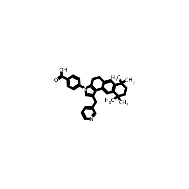 CC1(C)CCC(C)(C)c2cc3c(cc21)CCc1c-3c(Cc2cccnc2)cn1-c1ccc(C(=O)O)cc1